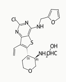 C=Cc1c([C@H]2CCOC[C@@H]2N)sc2c(NCc3ccco3)nc(Cl)nc12.O=CO